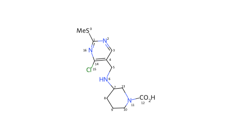 CSc1ncc(CNC2CCCN(C(=O)O)C2)c(Cl)n1